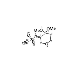 COC1(OC)CCOCC1=NS(=O)(=O)C(C)(C)C